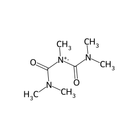 CN(C)C(=O)[N+](C)C(=O)N(C)C